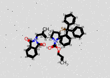 C=CCOC(=O)N1C[C@@H](SC(c2ccccc2)(c2ccccc2)c2ccccc2)C[C@H]1C=C(C)CN1C(=O)c2ccccc2C1=O